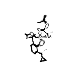 CC(C)OCP(=O)(N[C@@H](C)C(=O)OC(C)C)Oc1c(C(C)C)cccc1[C@H](C)C1CC1